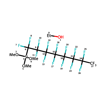 CCO.CO[Si](OC)(OC)C(F)(F)C(F)(F)C(F)(F)C(F)(F)C(F)(F)C(F)(F)C(F)(F)C(F)(F)F